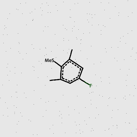 CSc1c(C)cc(F)cc1C